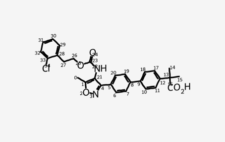 Cc1onc(-c2ccc(-c3ccc(C(C)(C)C(=O)O)cc3)cc2)c1NC(=O)OCCc1ccccc1Cl